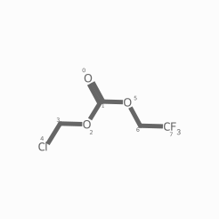 O=C(OCCl)OCC(F)(F)F